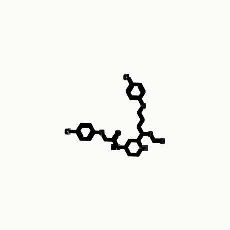 O=COC(CCCOc1ccc(Cl)cc1)C1CC(NC(=O)COc2ccc(Cl)cc2)CCN1